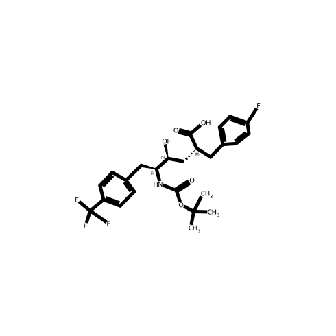 CC(C)(C)OC(=O)N[C@@H](Cc1ccc(C(F)(F)F)cc1)[C@@H](O)C[C@@H](Cc1ccc(F)cc1)C(=O)O